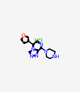 Cl.c1cc(-c2cnc(N3CCNCC3)c3nncn23)co1